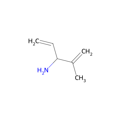 C=CC(N)C(=C)C